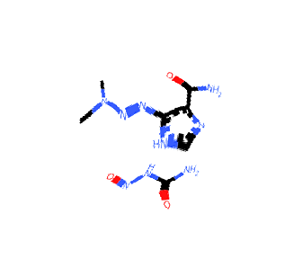 CN(C)/N=N/c1[nH]cnc1C(N)=O.NC(=O)NN=O